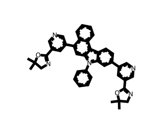 CC1(C)CN=C(c2cncc(-c3ccc4c5c6ccccc6c(-c6cncc(C7=NCC(C)(C)O7)c6)cc5n(-c5ccccc5)c4c3)c2)O1